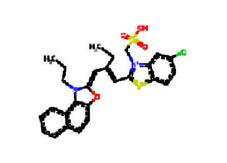 CCCN1C(=CC(=Cc2sc3ccc(Cl)cc3[n+]2CS(=O)(=O)O)CC)Oc2ccc3ccccc3c21